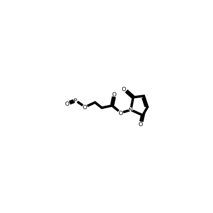 O=POCCC(=O)ON1C(=O)C=CC1=O